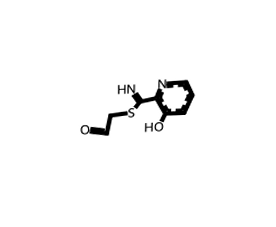 N=C(SCC=O)c1ncccc1O